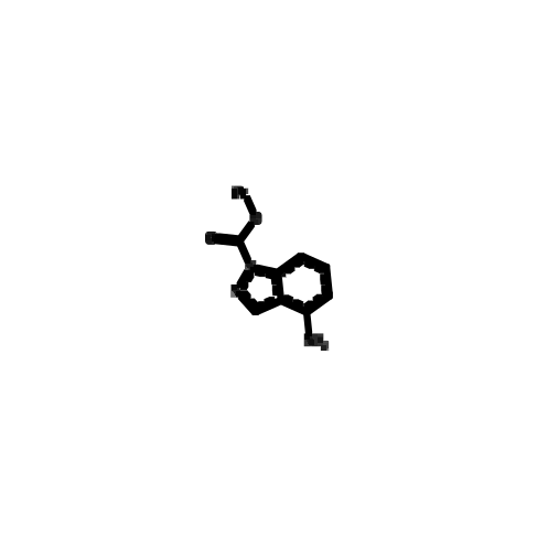 CC(C)OC(=O)n1ncc2c(N)cccc21